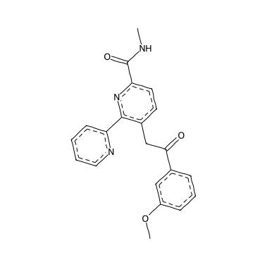 CNC(=O)c1ccc(CC(=O)c2cccc(OC)c2)c(-c2ccccn2)n1